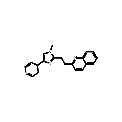 Cn1cc(C2C=CN=CC2)nc1CCc1ccc2ccccc2n1